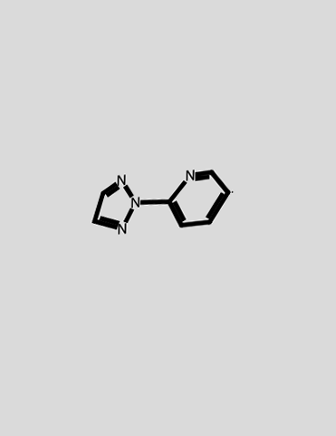 [c]1ccc(-n2nccn2)nc1